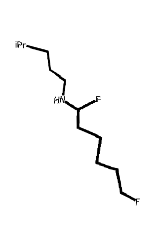 CC(C)CCCNC(F)CCCCCF